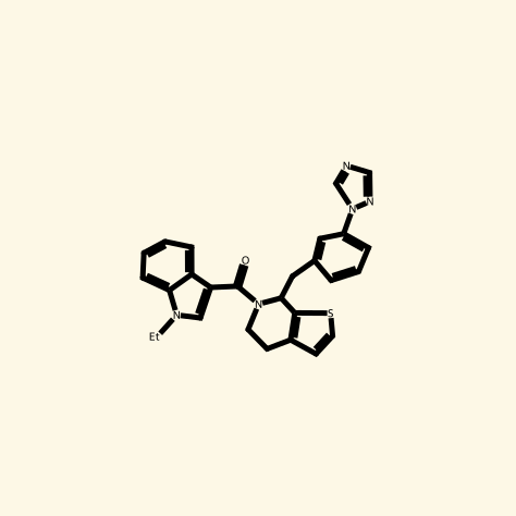 CCn1cc(C(=O)N2CCc3ccsc3C2Cc2cccc(-n3cncn3)c2)c2ccccc21